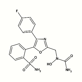 NC(=O)N(O)Cc1nc(-c2ccc(F)cc2)c(-c2ccccc2S(N)(=O)=O)o1